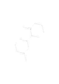 CC1CCCC(C2CCCCN2C)C1